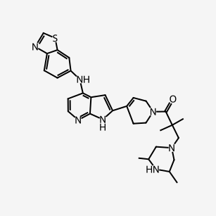 CC1CN(CC(C)(C)C(=O)N2CC=C(c3cc4c(Nc5ccc6ncsc6c5)ccnc4[nH]3)CC2)CC(C)N1